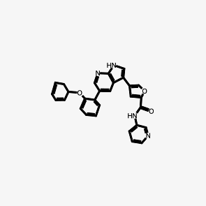 O=C(Nc1cccnc1)c1cc(-c2c[nH]c3ncc(-c4ccccc4OC4C=CC=CC4)cc23)co1